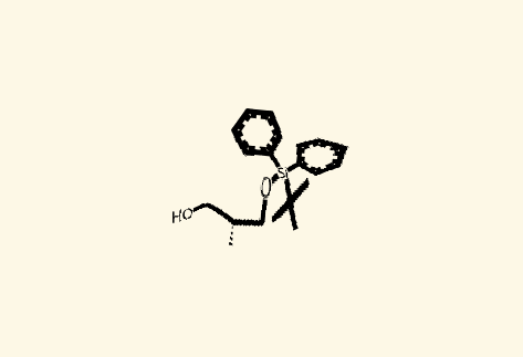 C[C@H](CO)CO[Si](c1ccccc1)(c1ccccc1)C(C)(C)C